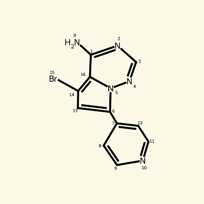 Nc1ncnn2c(-c3ccncc3)cc(Br)c12